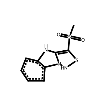 CS(=O)(=O)C1=C2Nc3ccccc3N2NS1